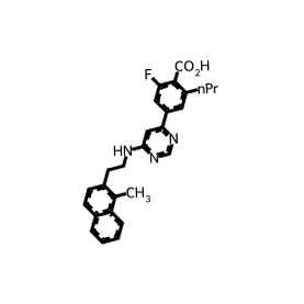 CCCc1cc(-c2cc(NCCc3ccc4ccccc4c3C)ncn2)cc(F)c1C(=O)O